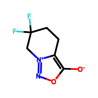 [O-]c1on[n+]2c1CCC(F)(F)C2